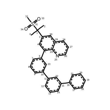 CC(C)(c1cc(-c2cccc(-c3cccc(-c4ccccc4)c3)c2)c2ncccc2c1)S(C)(=O)=O